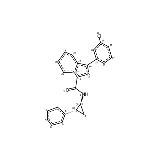 O=C(N[C@H]1C[C@@H]1c1ccccc1)c1nc(-c2cccc(Cl)c2)c2ccccn12